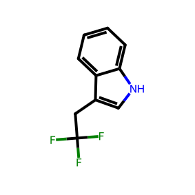 FC(F)(F)Cc1c[nH]c2ccccc12